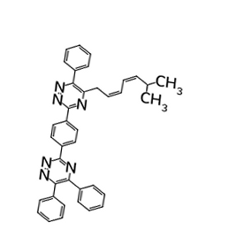 CC(C)/C=C\C=C/Cc1nc(-c2ccc(-c3nnc(-c4ccccc4)c(-c4ccccc4)n3)cc2)nnc1-c1ccccc1